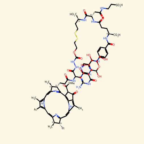 CC[C@H]1c2cc3[nH]c4c(c3C)C(=O)C(C(=O)OC)c4c3nc(cc4[nH]c(cc(n2)[C@@H]1C)c(C(C)=O)c4C)[C@@H](C)[C@@H]3CCC(=O)NC(CC(=O)NC1C(O)OC(CO)C(O)C1O)C(=O)NNC(=O)OCCSSCC[C@H](NC(=O)[C@H](CC(=O)NCCS(=O)(=O)O)NC(=O)CC[C@H](NC(=O)c1ccc(NCc2cnc3nc(N)[nH]c(=O)c3n2)cc1)C(=O)O)C(=O)O